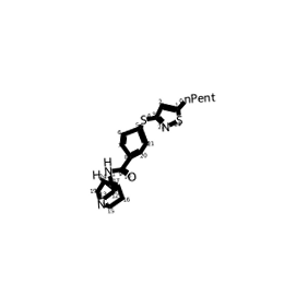 CCCCCc1cc(Sc2ccc(C(=O)N[C@H]3CN4CCC3CC4)cc2)ns1